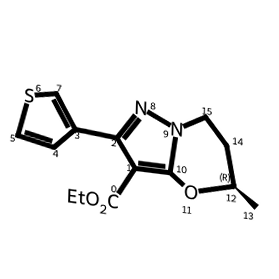 CCOC(=O)c1c(-c2ccsc2)nn2c1O[C@H](C)CC2